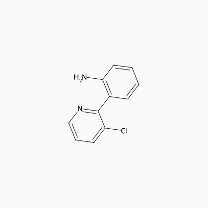 Nc1ccc[c]c1-c1ncccc1Cl